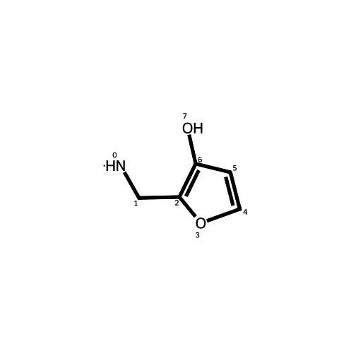 [NH]Cc1occc1O